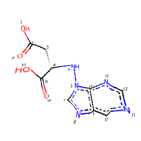 O=C(O)C[C@H](Nn1cnc2cncnc21)C(=O)O